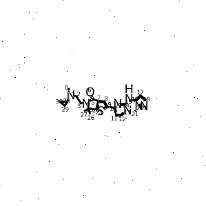 CN(CCN1C(=O)c2cc(-c3ccnc(Nc4ccnn4C)n3)sc2C1(C)C)C1CC1